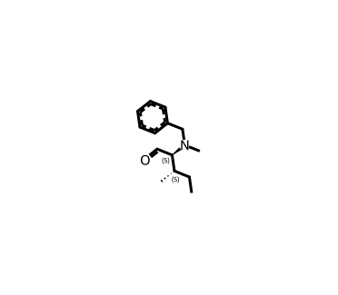 CC[C@H](C)[C@@H](C=O)N(C)Cc1ccccc1